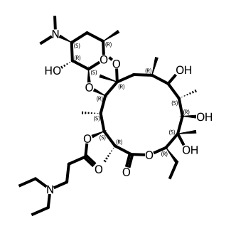 CC[C@H]1OC(=O)[C@H](C)[C@@H](OC(=O)CCN(CC)CC)[C@H](C)[C@@H](O[C@@H]2O[C@H](C)C[C@H](N(C)C)[C@H]2O)[C@](C)(OC)C[C@@H](C)C(O)[C@H](C)[C@@H](O)[C@]1(C)O